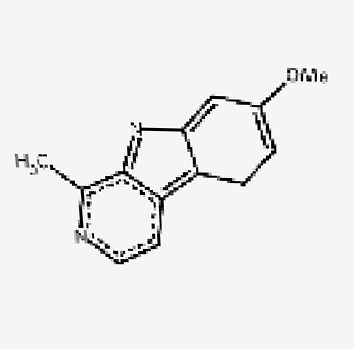 COC1=CCC2=c3ccnc(C)c3=NC2=C1